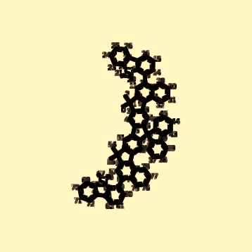 CC1(C)c2cc3c(cc2-c2c1cc(-c1cccc4c1[Si](C)(C)c1ccccc1-4)c1ccccc21)C(c1ccccc1)(c1ccccc1)c1cc2c(cc1-3)C(C)(C)c1cc(-c3cccc4c3[Si](C)(C)c3ccccc3-4)c3ccccc3c1-2